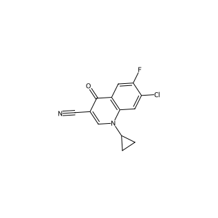 N#Cc1cn(C2CC2)c2cc(Cl)c(F)cc2c1=O